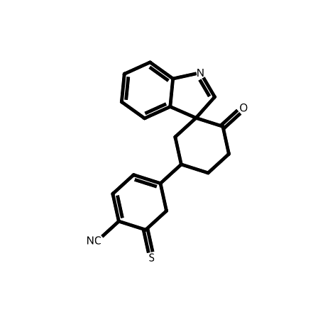 N#CC1=CC=C(C2CCC(=O)C3(C=Nc4ccccc43)C2)CC1=S